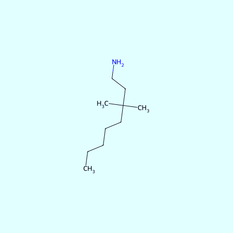 CCCCCC(C)(C)CCN